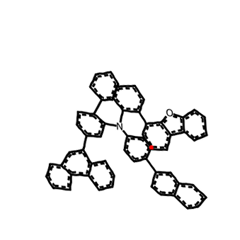 c1ccc(-c2ccc(-c3cc4ccccc4c4ccccc34)cc2N(c2ccc(-c3ccc4ccccc4c3)cc2)c2ccccc2-c2cccc3c2oc2ccccc23)cc1